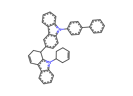 C1=CCC(n2c3c(c4ccccc42)C=CCC3c2ccc3c(c2)c2ccccc2n3-c2ccc(-c3ccccc3)cc2)CC1